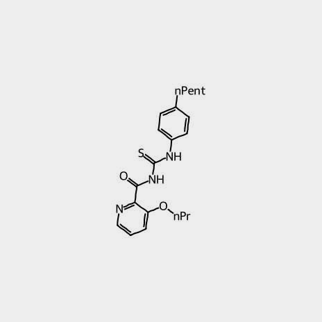 CCCCCc1ccc(NC(=S)NC(=O)c2ncccc2OCCC)cc1